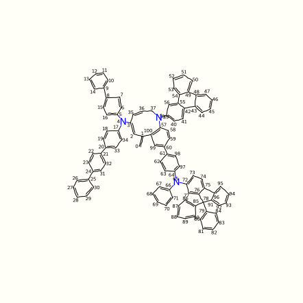 C=C1/C=C(N(c2ccc(-c3ccccc3)cc2)c2ccc(-c3ccc(-c4ccccc4)cc3)cc2)\C=C/CN(c2ccc3c4ccccc4c4ccccc4c3c2)c2ccc(-c3ccc(N(c4ccccc4)c4ccc5c(c4)C(c4ccccc4)(c4ccccc4)c4ccccc4-5)cc3)cc21